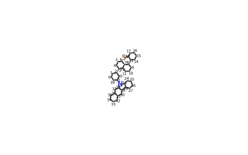 c1cc(-c2ccc3c4c(cccc24)-c2ccccc2S3)cc(-n2c3ccccc3c3cc4ccccc4cc32)c1